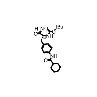 CC(C)(C)OC(=O)N[C@@H](Cc1ccc(NC(=O)C2CCCCC2)cc1)C(N)=O